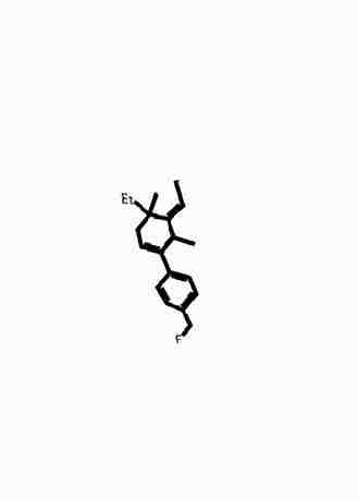 C/C=C1/C(C)C(c2ccc(CF)cc2)=CCC1(C)CC